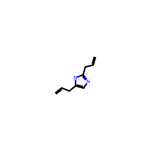 C=CCC1=CN=C(CC=C)[N]1